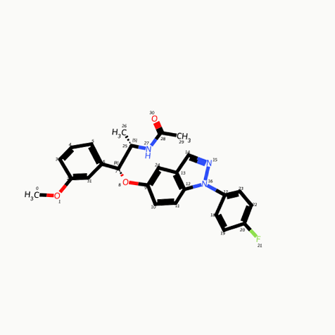 COc1cccc([C@@H](Oc2ccc3c(cnn3-c3ccc(F)cc3)c2)[C@H](C)NC(C)=O)c1